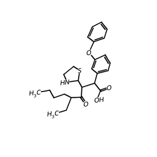 CCCCC(CC)C(=O)C(C1NCCS1)C(C(=O)O)c1cccc(Oc2ccccc2)c1